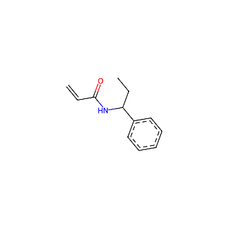 C=CC(=O)NC(CC)c1ccccc1